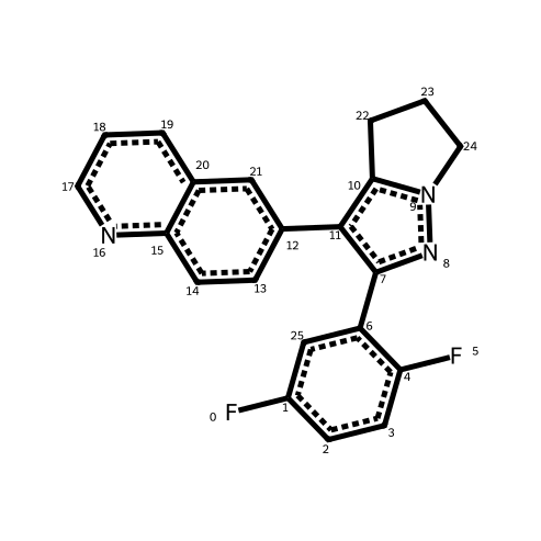 Fc1ccc(F)c(-c2nn3c(c2-c2ccc4ncccc4c2)CCC3)c1